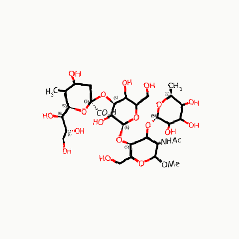 COC1OC(CO)[C@@H](O[C@@H]2OC(CO)C(O)[C@H](O[C@]3(C(=O)O)CC(O)C(C)[C@H]([C@H](O)[C@H](O)CO)O3)C2O)C(O[C@@H]2O[C@@H](C)C(O)C(O)C2O)C1NC(C)=O